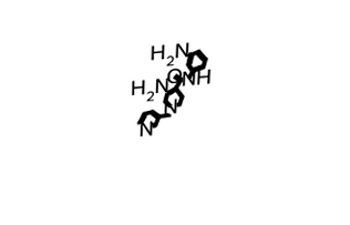 NC1=C(C(=O)Nc2cccc(N)c2)CCN(Cc2cccnc2)C1